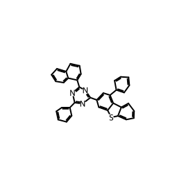 c1ccc(-c2nc(-c3cc(-c4ccccc4)c4c(c3)sc3ccccc34)nc(-c3cccc4ccccc34)n2)cc1